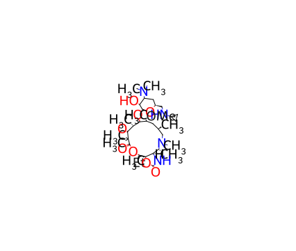 CC[C@H]1OC(=O)C(C)(C)C(=O)[C@H](C)[C@@H](O[C@@H]2O[C@H](CNC3CC3)CC(N(C)C)[C@H]2O)[C@](C)(OC)C[C@@H](C)CN(C)[C@H](C)[C@H]2NC(=O)O[C@@]21C